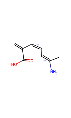 C=C(/C=C\C=C(/C)N)C(=O)O